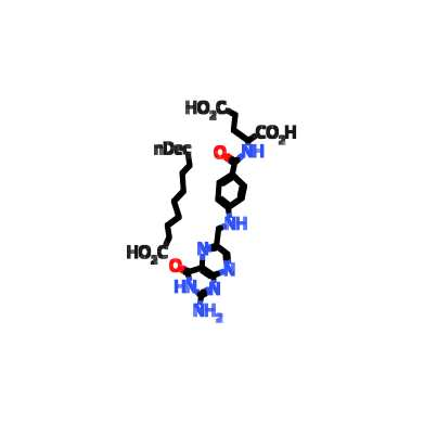 CCCCCCCCCCCCCCCCCC(=O)O.Nc1nc2ncc(CNc3ccc(C(=O)NC(CCC(=O)O)C(=O)O)cc3)nc2c(=O)[nH]1